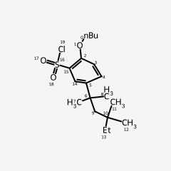 CCCCOc1ccc(C(C)(C)CC(C)(C)CC)cc1S(=O)(=O)Cl